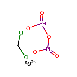 ClCCl.O=[PH]([O-])O[PH](=O)[O-].[Ag+2]